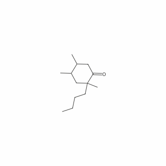 CCCCC1(C)CC(C)C(C)CC1=O